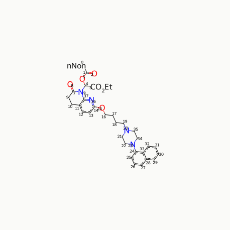 CCCCCCCCCC(=O)OC(C(=O)OCC)N1C(=O)CCc2ccc(OCCCCN3CCN(c4cccc5ccccc45)CC3)nc21